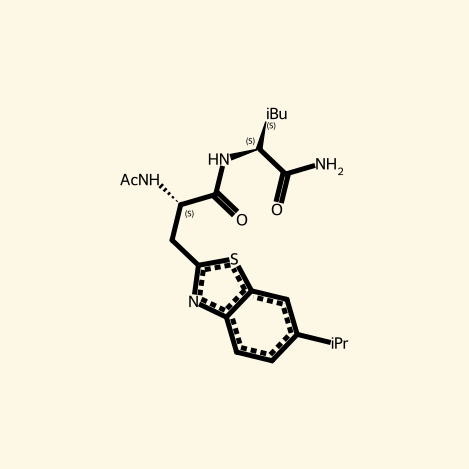 CC[C@H](C)[C@H](NC(=O)[C@H](Cc1nc2ccc(C(C)C)cc2s1)NC(C)=O)C(N)=O